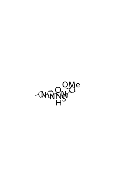 COCc1ccccc1-c1csc(NC(=O)c2ccc(N3CCC(C)CC3)cn2)n1